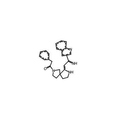 N=C(/C=C1\NCCC12CCN(C(=O)Cc1ccccc1)C2)c1cnc2ccccc2c1